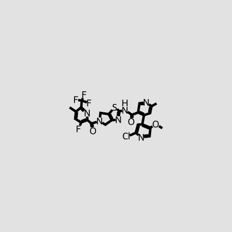 COc1cnc(Cl)cc1-c1cc(C)ncc1C(=O)Nc1nc2c(s1)CN(C(=O)c1nc(C(F)(F)F)c(C)cc1F)C2